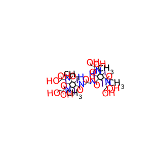 CN(CC(O)CO)C(=O)c1c(I)c(C(=O)NCC(O)CNC(=O)c2c(I)c(C(=O)N(C)CC(O)CO)c(I)c(N(C)C(=O)C(O)CO)c2I)c(I)c(N(C)C(=O)C(O)CO)c1I